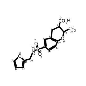 O=C(O)C1Cc2cc(S(=O)(=O)NCc3ccco3)ccc2OC1C(F)(F)F